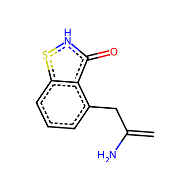 C=C(N)Cc1cccc2s[nH]c(=O)c12